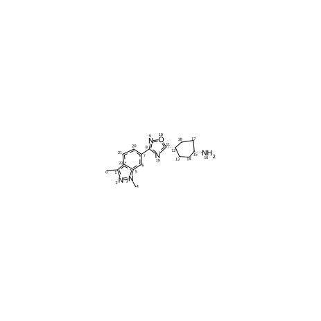 Cc1nn(C)c2cc(-c3noc([C@H]4CC[C@@H](N)CC4)n3)ccc12